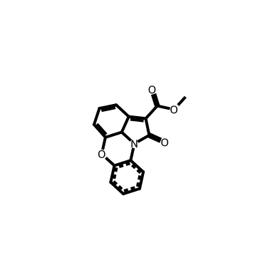 COC(=O)C1=C2C=CC=C3Oc4ccccc4N(C1=O)C32